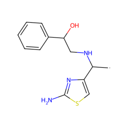 [CH2]C(NCC(O)c1ccccc1)c1csc(N)n1